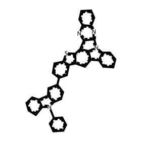 c1ccc(-n2c3ccccc3c3cc(-c4ccc5sc6c(cc7c8ccccc8n8c9nc%10ccccc%10nc9c6c78)c5c4)ccc32)cc1